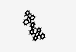 FC1=CCCC(F)=C1C1=C2C=CCCC2=C(c2ccc3oc4c(-c5c6ccccc6c(-c6ccccc6)c6ccccc56)cccc4c3c2)C2C=CC=CC1=C2